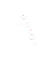 COc1cc(NC(=O)c2ccc(-c3ccccc3C(F)(F)F)c(N)c2)ccc1S(N)(=O)=O